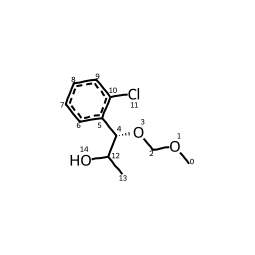 COCO[C@@H](c1ccccc1Cl)C(C)O